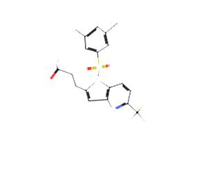 Cc1cc(C)cc(S(=O)(=O)n2c(CCC(=O)O)cc3nc(C(F)(F)F)ccc32)c1